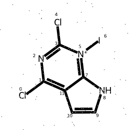 Clc1nc(Cl)[n+](I)c2[nH]ccc12